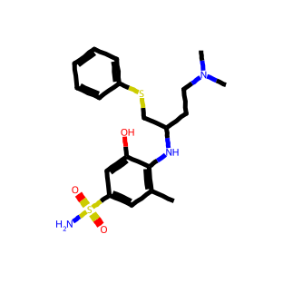 Cc1cc(S(N)(=O)=O)cc(O)c1NC(CCN(C)C)CSc1ccccc1